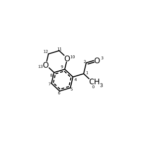 CC(C=O)c1cccc2c1OCCO2